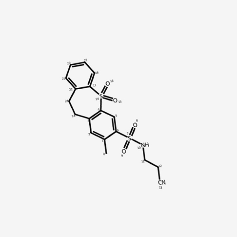 Cc1cc2c(cc1S(=O)(=O)NCCC#N)S(=O)(=O)c1ccccc1CC2